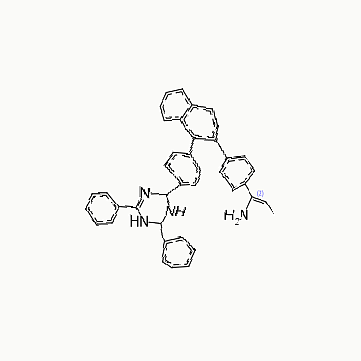 C/C=C(\N)c1ccc(-c2ccc3ccccc3c2-c2ccc(C3N=C(c4ccccc4)NC(c4ccccc4)N3)cc2)cc1